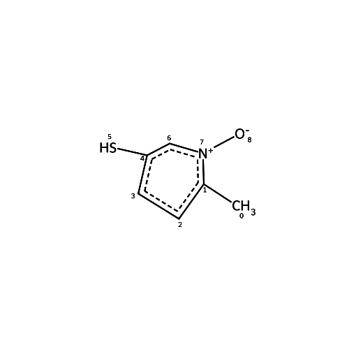 Cc1ccc(S)c[n+]1[O-]